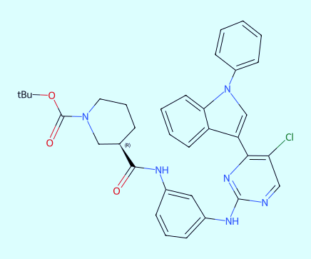 CC(C)(C)OC(=O)N1CCC[C@@H](C(=O)Nc2cccc(Nc3ncc(Cl)c(-c4cn(-c5ccccc5)c5ccccc45)n3)c2)C1